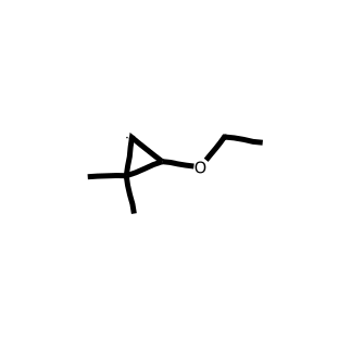 CCOC1[CH]C1(C)C